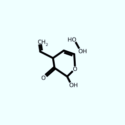 C=CC1C=COC(O)C1=O.OO